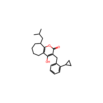 CC(C)CC1CCCCc2c1oc(=O)c(Cc1ccccc1C1CC1)c2O